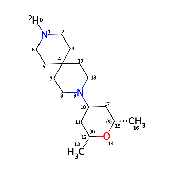 [2H]N1CCC2(CC1)CCN(C1C[C@@H](C)O[C@@H](C)C1)CC2